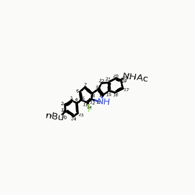 CCCCc1ccc(-c2ccc3c4c([nH]c3c2F)-c2ccc(NC(C)=O)cc2C4)cc1